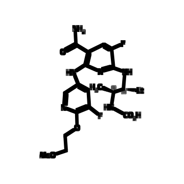 CC[C@@H](Nc1nc(Nc2cnc(OCCOC)c(F)c2)c(C(N)=O)cc1F)[C@H](C)NC(=O)O